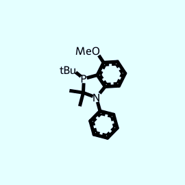 COc1cccc2c1P(C(C)(C)C)C(C)(C)N2c1ccccc1